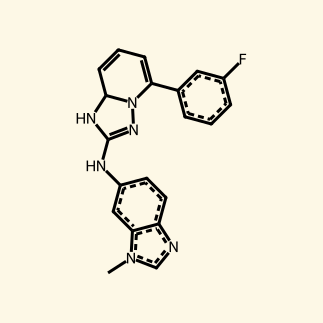 Cn1cnc2ccc(NC3=NN4C(c5cccc(F)c5)=CC=CC4N3)cc21